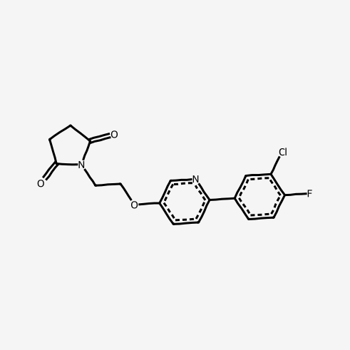 O=C1CCC(=O)N1CCOc1ccc(-c2ccc(F)c(Cl)c2)nc1